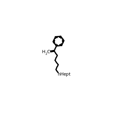 C=C(CCCCCCCCCCC)c1ccccc1